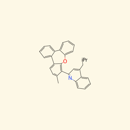 Cc1ccc2c(c1-c1cc(CC(C)C)c3ccccc3n1)Oc1ccccc1-c1ccccc1-2